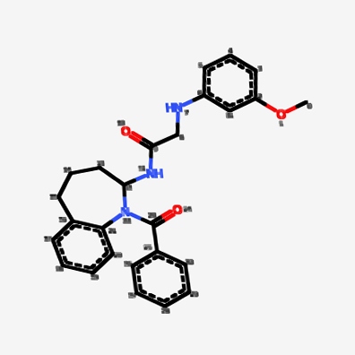 COc1cccc(NCC(=O)NC2CCCc3ccccc3N2C(=O)c2ccccc2)c1